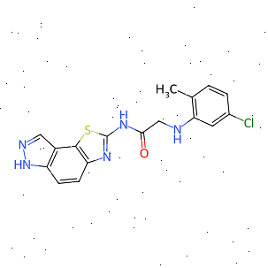 Cc1ccc(Cl)cc1NCC(=O)Nc1nc2ccc3[nH]ncc3c2s1